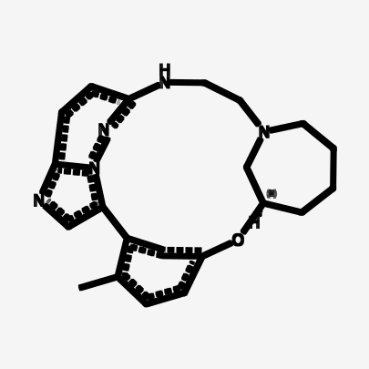 Cc1ccc2cc1-c1cnc3ccc(nn13)NCCN1CCCC[C@H](C1)O2